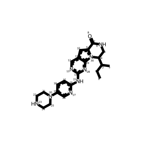 CCC(C)C1CNC(=O)c2cc3cnc(Nc4ccc(N5CCNCC5)cn4)nc3n21